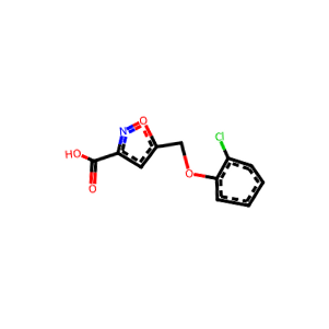 O=C(O)c1cc(COc2ccccc2Cl)on1